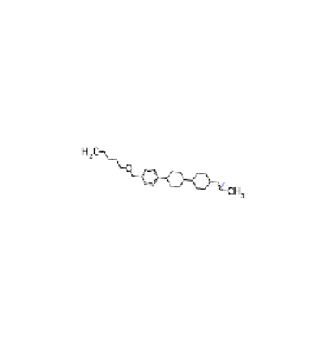 C=CCCCOCc1ccc(C2CCC(C3CCC(/C=C/C)CC3)CC2)cc1